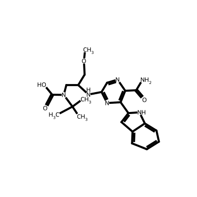 COCC(CN(C(=O)O)C(C)(C)C)Nc1cnc(C(N)=O)c(-c2cc3ccccc3[nH]2)n1